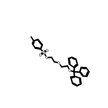 Cc1ccc(S(=O)(=O)OCCOCCOC(c2ccccc2)(c2ccccc2)c2ccccc2)cc1